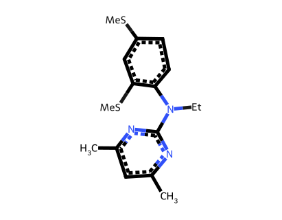 CCN(c1nc(C)cc(C)n1)c1ccc(SC)cc1SC